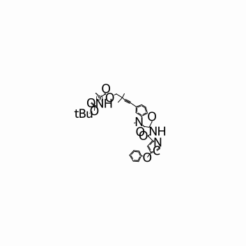 C[C@H](NC(=O)OC(C)(C)C)C(=O)OCC(C)(C)C#Cc1ccc2c(c1)N(C)C(=O)C(NC(=O)c1cc(Oc3ccccc3)ccn1)CO2